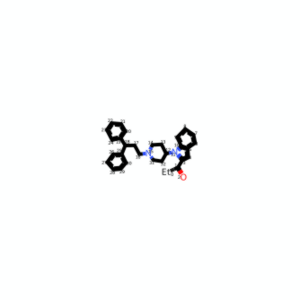 CCC(=O)c1cc2ccccc2n1C1CCN(CCC(c2ccccc2)c2ccccc2)CC1